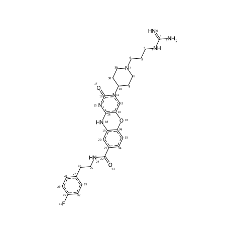 N=C(N)NCCCN1CCC(n2cc3c(nc2=O)Nc2cc(C(=O)NCCc4ccc(F)cc4)ccc2O3)CC1